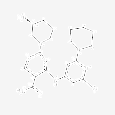 CC(C)c1cc(Nc2nc(N3CCC[C@H](N)C3)ncc2C(N)=O)cc(N2CCCCC2)n1